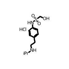 CC(C)NCCc1ccc(NS(=O)(=O)CO)cc1.Cl